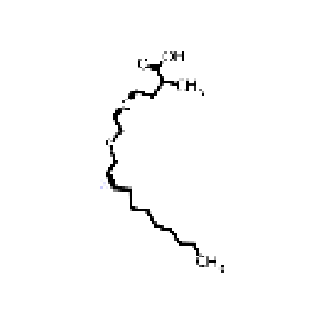 CCCCCCCC/C=C\CSCC=C=CCC(C)C(=O)O